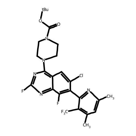 Cc1cc(C)c(C(F)(F)F)c(-c2c(Cl)cc3c(N4CCN(C(=O)OC(C)(C)C)CC4)nc(F)nc3c2F)n1